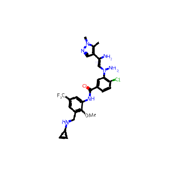 COc1c(CNC2CC2)cc(C(F)(F)F)cc1NC(=O)c1ccc(Cl)c(N(N)/C=C(\N)c2cnn(C)c2C)c1